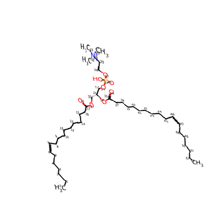 CCCCCC/C=C\CCCCCCCCCC(=O)OC[C@H](COP(=O)(O)OCC[N+](C)(C)C)OC(=O)CCCCCCCCC/C=C\CCCCCC